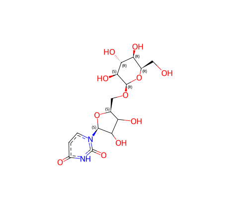 O=c1ccn([C@H]2O[C@@H](CO[C@@H]3O[C@H](CO)[C@H](O)[C@@H](O)[C@@H]3O)C(O)C2O)c(=O)[nH]1